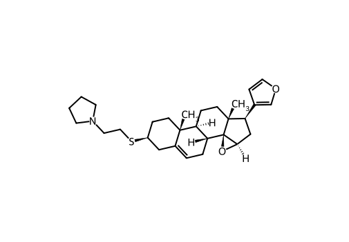 C[C@]12CC[C@H](SCCN3CCCC3)CC1=CC[C@@H]1[C@@H]2CC[C@]2(C)[C@@H](c3ccoc3)C[C@H]3O[C@]132